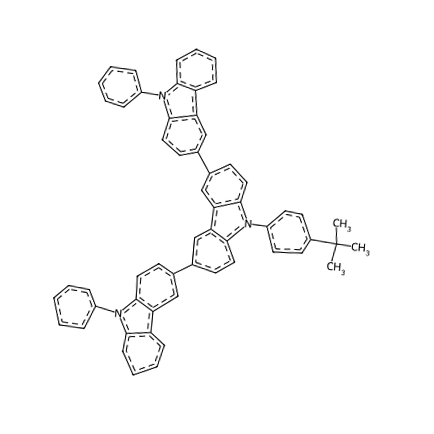 CC(C)(C)c1ccc(-n2c3ccc(-c4ccc5c(c4)c4ccccc4n5-c4ccccc4)cc3c3cc(-c4ccc5c(c4)c4ccccc4n5-c4ccccc4)ccc32)cc1